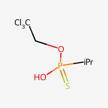 CC(C)P(O)(=S)OCC(Cl)(Cl)Cl